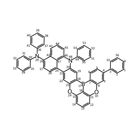 c1ccc(-c2ccc3c(c2)Oc2cccc4c2B3c2cc3c(cc2O4)-c2ccc(N(c4ccccc4)c4ccccc4)c4cccc(c24)N3c2ccccc2)cc1